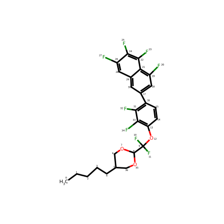 CCCCCC1COC(C(F)(F)Oc2ccc(-c3cc(F)c4c(F)c(F)c(F)cc4c3)c(F)c2F)OC1